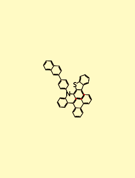 c1ccc(N(c2ccc(-c3ccc4ccccc4c3)cc2)c2cccc3c2sc2ccccc23)c(-c2cc3ccccc3c3ccccc23)c1